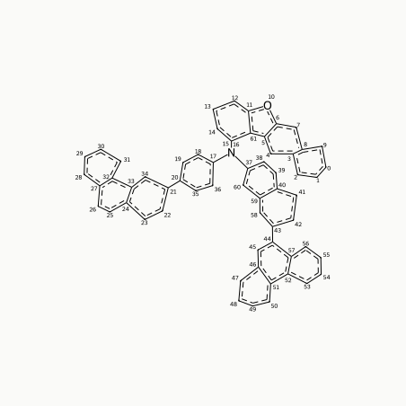 c1ccc2cc3c(cc2c1)oc1cccc(N(c2ccc(-c4ccc5ccc6ccccc6c5c4)cc2)c2ccc4ccc(-c5cc6ccccc6c6ccccc56)cc4c2)c13